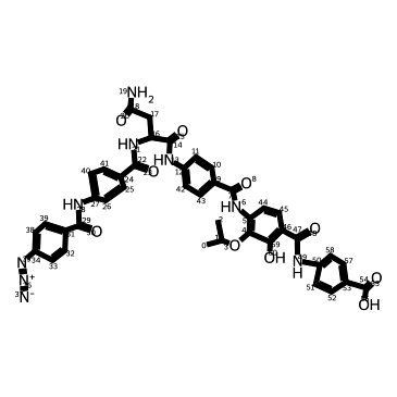 CC(C)Oc1c(NC(=O)c2ccc(NC(=O)C(CC(N)=O)NC(=O)c3ccc(NC(=O)c4ccc(N=[N+]=[N-])cc4)cc3)cc2)ccc(C(=O)Nc2ccc(C(=O)O)cc2)c1O